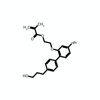 C=C(C)C(=O)OCCOc1cc(CCC)ccc1-c1ccc(CCCO)cc1